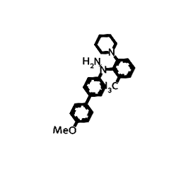 COc1ccc(-c2ccc(N(N)c3c(C)cccc3N3CCCCC3)cc2)cc1